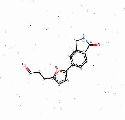 O=CCCc1ccc(-c2ccc3c(c2)CNC3=O)o1